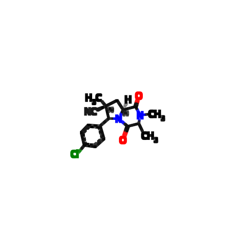 CC1C(=O)N2C(c3ccc(Cl)cc3)[C@@](C)(C#N)C[C@H]2C(=O)N1C